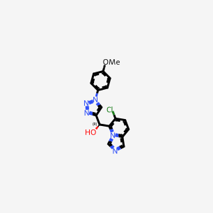 COc1ccc(-n2cc([C@H](O)c3c(Cl)ccc4cncn34)nn2)cc1